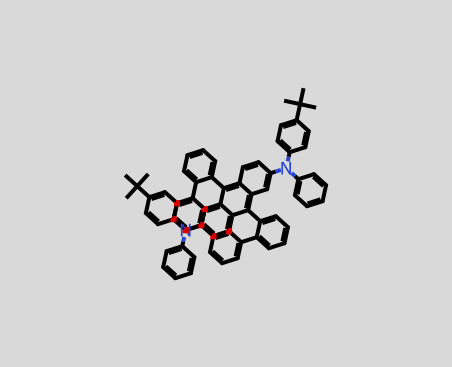 CC(C)(C)C1=CCC(N(c2ccccc2)c2ccc3c(-c4ccccc4-c4ccccc4)c4cc(N(c5ccccc5)c5ccc(C(C)(C)C)cc5)ccc4c(-c4ccccc4-c4ccccc4)c3c2)C=C1